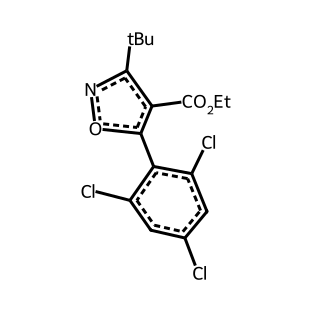 CCOC(=O)c1c(C(C)(C)C)noc1-c1c(Cl)cc(Cl)cc1Cl